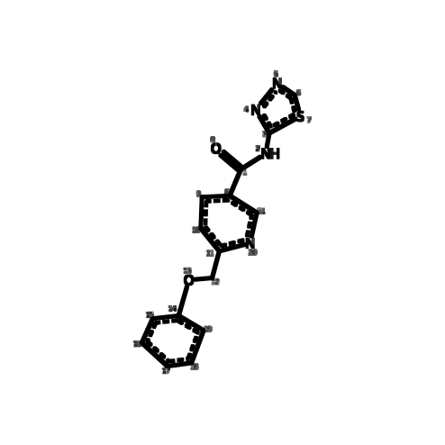 O=C(Nc1nncs1)c1ccc(COc2ccccc2)nc1